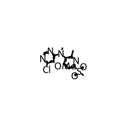 COc1c(Cl)ncnc1N(C)c1ccc(S(C)(=O)=O)nc1C